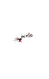 CC(C)(C)[Si](OCC1CCC(n2cc(-c3cn4ncc(C#N)c4c(-c4ccc(F)nc4)n3)cn2)CC1)(c1ccccc1)c1ccccc1